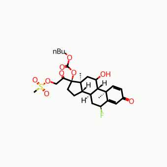 CCCCOC(=O)O[C@]1(C(=O)COS(C)(=O)=O)CC[C@H]2[C@@H]3C[C@H](F)C4=CC(=O)C=C[C@]4(C)[C@H]3C(O)C[C@@]21C